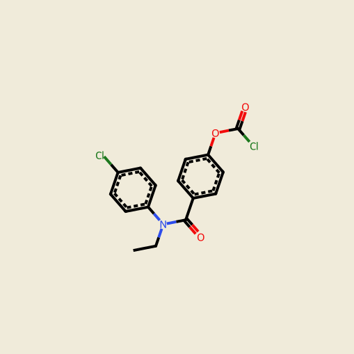 CCN(C(=O)c1ccc(OC(=O)Cl)cc1)c1ccc(Cl)cc1